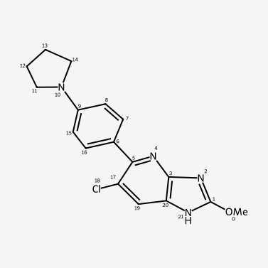 COc1nc2nc(-c3ccc(N4CCCC4)cc3)c(Cl)cc2[nH]1